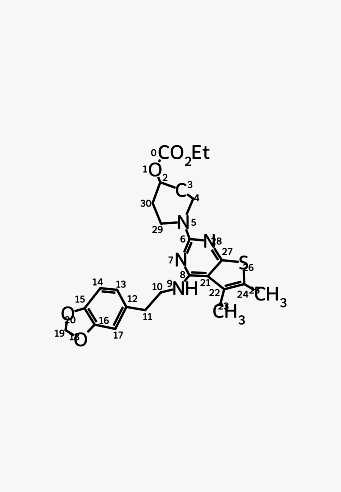 CCOC(=O)OC1CCN(c2nc(NCCc3ccc4c(c3)OCO4)c3c(C)c(C)sc3n2)CC1